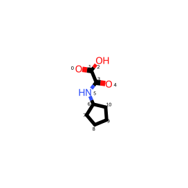 O=C(O)C(=O)NC1CCCC1